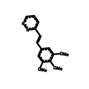 COc1cc(C=Cc2cccnn2)cc(OC)c1OC